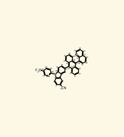 N#Cc1ccc2c(c1)c1cc(-c3c4ccccc4c(-c4cccc5cccnc45)c4ccccc34)ccc1n2-c1ccc(C(F)(F)F)cn1